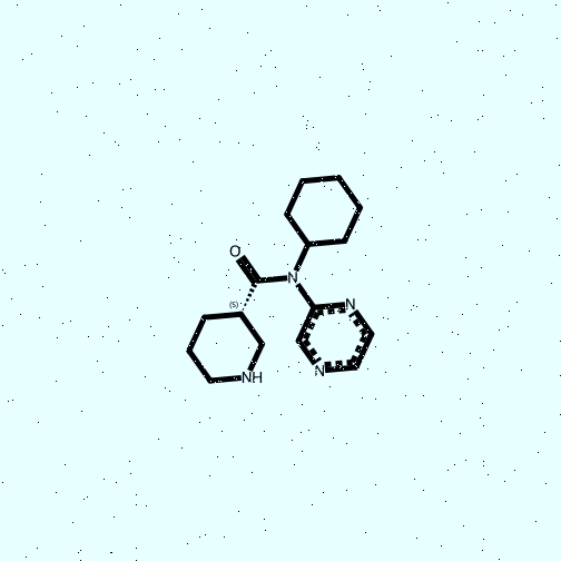 O=C([C@H]1CCCNC1)N(c1cnccn1)C1CCCCC1